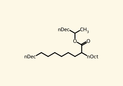 CCCCCCCCCCCCCCCCC(CCCCCCCC)C(=O)OC(C)CCCCCCCCCC